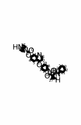 O=C(Oc1ccc2c(Oc3ccc(NC(=O)C4(C(=O)Nc5ccccc5)CC4)cc3)ccnc2c1)N1C2CNCC1C2